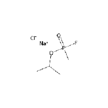 CC(C)OP(C)(=O)F.[Cl-].[Na+]